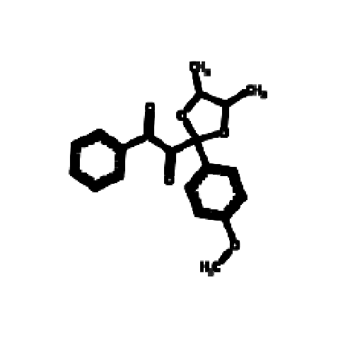 COc1ccc(C2(C(=O)C(=O)c3ccccc3)OC(C)C(C)O2)cc1